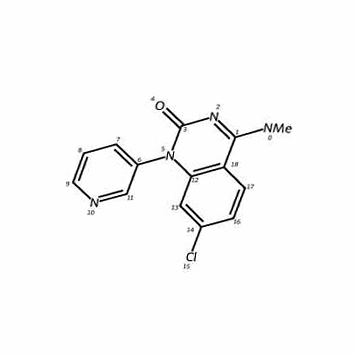 CNc1nc(=O)n(-c2cccnc2)c2cc(Cl)ccc12